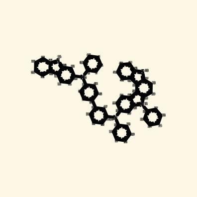 c1ccc(N(c2ccc(-c3cccc(N(c4ccccc4)c4ccc5c6c7c(ccc6n(-c6ccccc6)c5c4)sc4ccccc47)c3)cc2)c2ccc3c(c2)sc2ccccc23)cc1